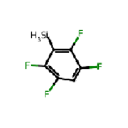 Fc1[c]c(F)c(F)c([SiH3])c1F